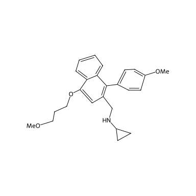 COCCCOc1cc(CNC2CC2)c(-c2ccc(OC)cc2)c2ccccc12